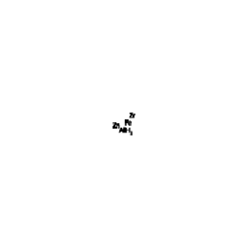 [AlH3].[Fe].[Zn].[Zr]